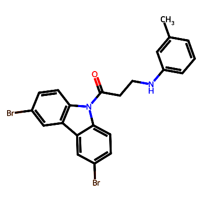 Cc1cccc(NCCC(=O)n2c3ccc(Br)cc3c3cc(Br)ccc32)c1